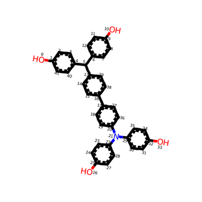 Oc1ccc(C(c2ccc(O)cc2)c2ccc(-c3ccc(N(c4ccc(O)cc4)c4ccc(O)cc4)cc3)cc2)cc1